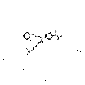 CC(=O)Nc1ccc(C(CCCc2ccccc2)=NOCCCN(C)C)cc1